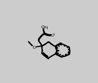 COC1(CC(=O)O)C=Cc2ccccc2C1